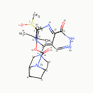 C[S+]([O-])c1nc(N2CC3CCC(C2)N3C(=O)OC(C)(C)C)c2cn[nH]c(=O)c2n1